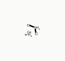 Cl[SiH2]Cl.[GeH4].[H+]